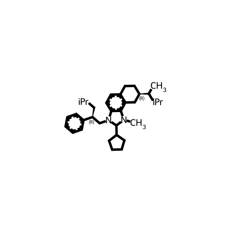 CC(C)C[C@@H](CN1c2ccc3c(c2N(C)C1C1CCCC1)C[C@H](C(C)C(C)C)CC3)c1ccccc1